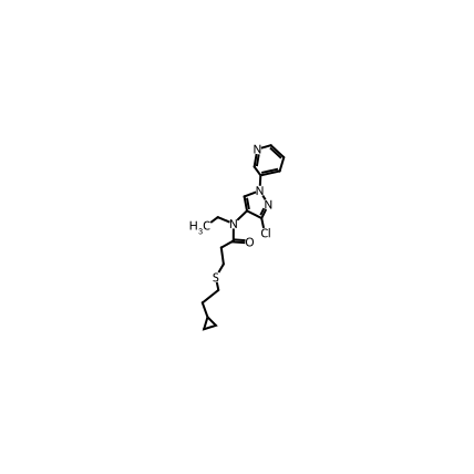 CCN(C(=O)CCSCCC1CC1)c1cn(-c2cccnc2)nc1Cl